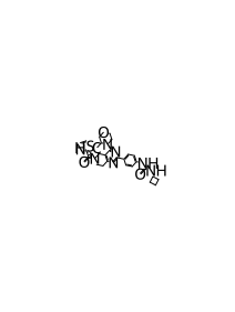 CC1COCCN1c1nc(-c2ccc(NC(=O)NC3CCC3)cc2)nc2c1CN(C(=O)c1nccs1)CC2